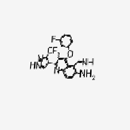 N=Cc1c(N)ccc2nc(-c3c[nH]nc3C(F)(F)F)cc(Oc3cccc(F)c3)c12